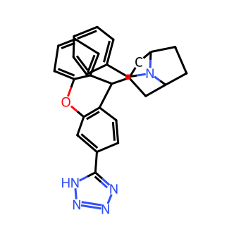 c1ccc(CN2C3CCC2CC(C2c4ccccc4Oc4cc(-c5nnn[nH]5)ccc42)C3)cc1